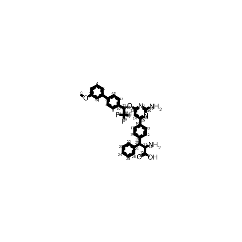 COc1cccc(-c2ccc([C@@H](Oc3cc(-c4ccc(C(c5ccccc5)C(N)C(=O)O)cc4)nc(N)n3)C(F)(F)F)cc2)c1